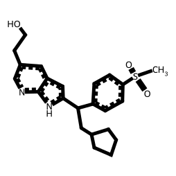 CS(=O)(=O)c1ccc(C(CC2CCCC2)c2cc3cc(CCO)cnc3[nH]2)cc1